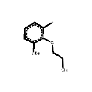 CCCCc1cccc(F)c1OCCO